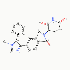 CCn1cnc(-c2ccc3c(c2)CN([C@@H]2CCC(=O)NC2=O)C3=O)c1-c1ccccc1